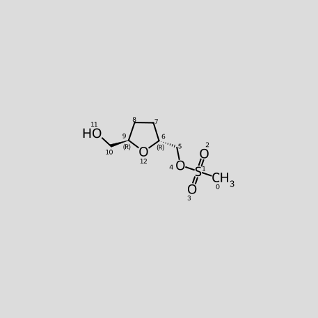 CS(=O)(=O)OC[C@H]1CC[C@H](CO)O1